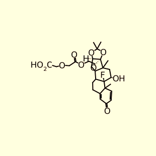 CC1(C)O[C@@H]2CC3C4CCC5=CC(=O)C=CC5(C)[C@@]4(F)[C@@H](O)CC3(C)[C@]2(C(=O)COC(=O)COCC(=O)O)O1